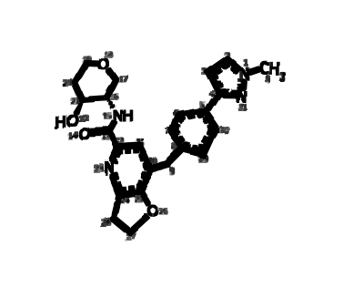 Cn1ccc(-c2ccc(Cc3cc(C(=O)N[C@H]4COCC[C@@H]4O)nc4c3OCC4)cc2)n1